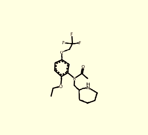 CCOc1ccc(OCC(F)(F)F)cc1N(CC1CCCCN1)C(C)=O